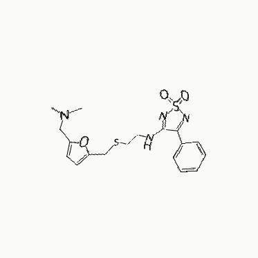 CN(C)Cc1ccc(CSCCNC2=NS(=O)(=O)N=C2c2ccccc2)o1